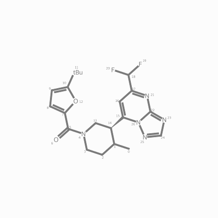 CC1CCN(C(=O)c2ccc(C(C)(C)C)o2)C[C@H]1c1cc(C(F)F)nc2ncnn12